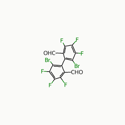 O=Cc1c(F)c(F)c(F)c(Br)c1-c1c(Br)c(F)c(F)c(F)c1C=O